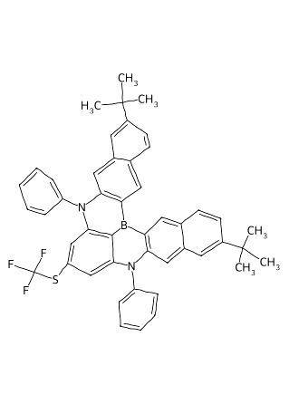 CC(C)(C)c1ccc2cc3c(cc2c1)N(c1ccccc1)c1cc(SC(F)(F)F)cc2c1B3c1cc3ccc(C(C)(C)C)cc3cc1N2c1ccccc1